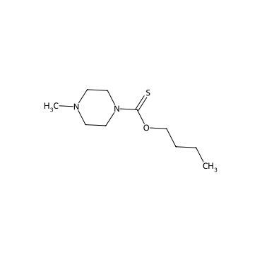 CCCCOC(=S)N1CCN(C)CC1